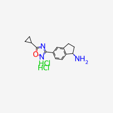 Cl.Cl.N[C@@H]1CCc2cc(-c3noc(C4CC4)n3)ccc21